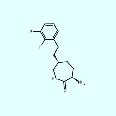 N[C@@H]1CC[C@H](CCc2cccc(F)c2F)CNC1=O